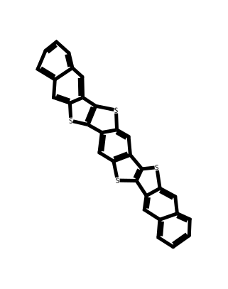 c1ccc2cc3c(cc2c1)sc1c2cc4sc5c6cc7ccccc7cc6sc5c4cc2sc31